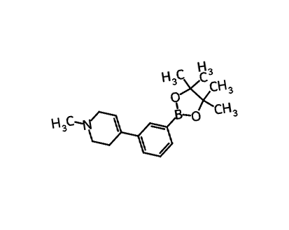 CN1CC=C(c2cccc(B3OC(C)(C)C(C)(C)O3)c2)CC1